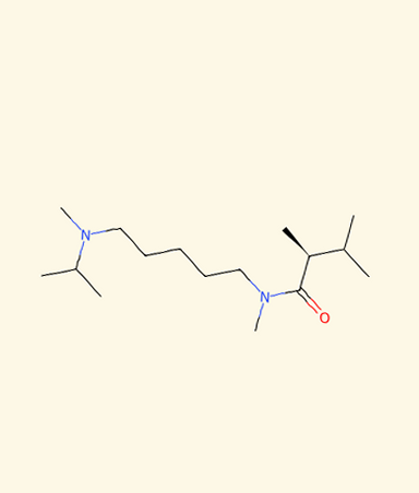 CC(C)[C@H](C)C(=O)N(C)CCCCCN(C)C(C)C